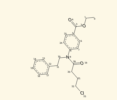 CCOC(=O)c1ccc(N(CCc2ccccc2)C(=O)CCCCl)cc1